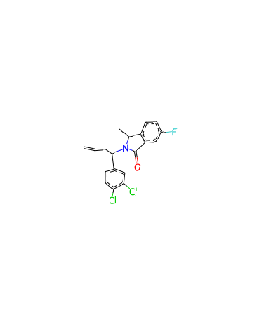 C=CCC(c1ccc(Cl)c(Cl)c1)N1C(=O)c2cc(F)ccc2C1C